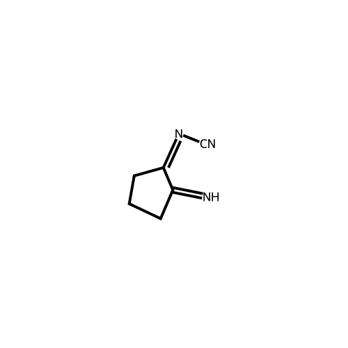 N#CN=C1CCCC1=N